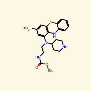 CCOC(=O)c1cc2c(c(N(CCNC(=O)OC(C)(C)C)C3CCNCC3)c1)Nc1ccccc1S2